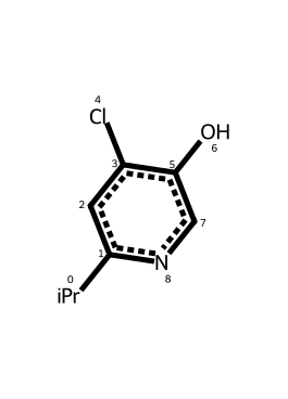 CC(C)c1cc(Cl)c(O)cn1